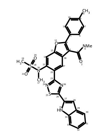 CNC(=O)c1c(-c2ccc(C)cc2)oc2cc(N(C)S(C)(=O)=O)c(-c3nsc(-c4cc5ccccc5[nH]4)n3)cc12